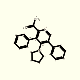 NC(=O)c1ncc(-c2ccccc2)c(N2CCCC2)c1-c1ccccc1